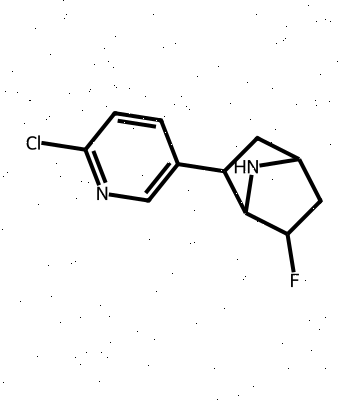 FC1CC2CC(c3ccc(Cl)nc3)C1N2